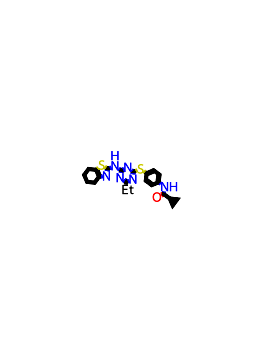 CCc1nc(Nc2nc3c(s2)CCCC3)nc(Sc2ccc(NC(=O)C3CC3)cc2)n1